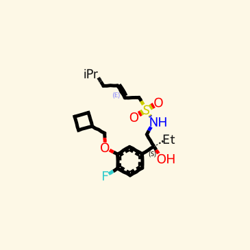 CC[C@@](O)(CNS(=O)(=O)C/C=C/CC(C)C)c1ccc(F)c(OCC2CCC2)c1